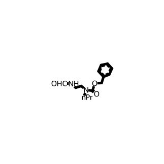 CCCN(CCNC=O)C(=O)OCc1ccccc1